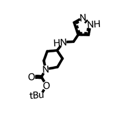 CC(C)(C)OC(=O)N1CCC(NCc2cn[nH]c2)CC1